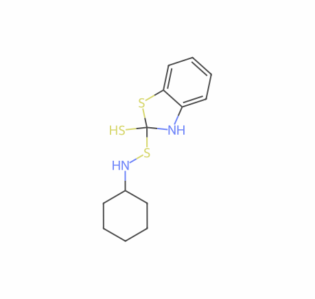 SC1(SNC2CCCCC2)Nc2ccccc2S1